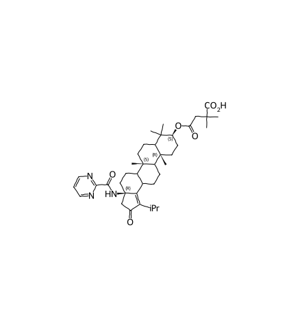 CC(C)C1=C2C3CCC4[C@@](C)(CCC5C(C)(C)[C@@H](OC(=O)CC(C)(C)C(=O)O)CC[C@@]54C)C3CC[C@@]2(NC(=O)c2ncccn2)CC1=O